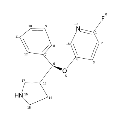 Fc1ccc(O[C@H](c2ccccc2)C2CCNC2)cn1